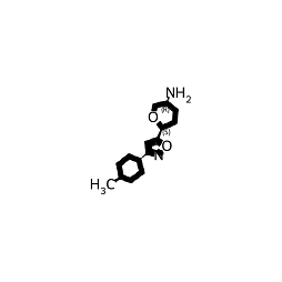 C[C@H]1CC[C@H](c2cc([C@@H]3CC[C@@H](N)CO3)on2)CC1